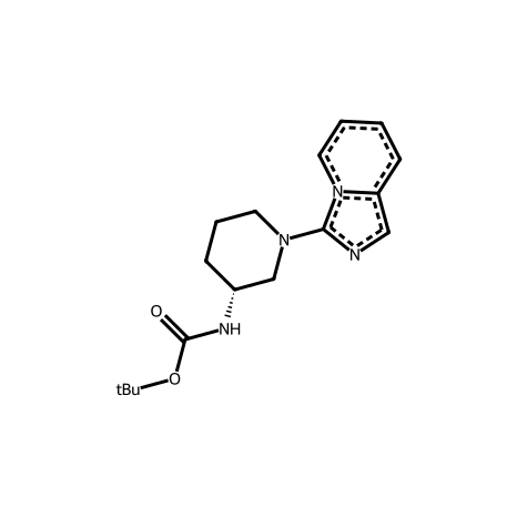 CC(C)(C)OC(=O)N[C@@H]1CCCN(c2ncc3ccccn23)C1